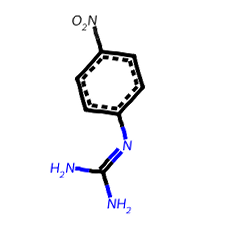 NC(N)=Nc1ccc([N+](=O)[O-])cc1